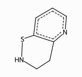 c1cnc2c(c1)SNCC2